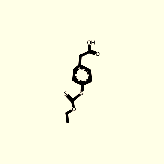 CCOC(=S)Sc1ccc(CC(=O)O)cc1